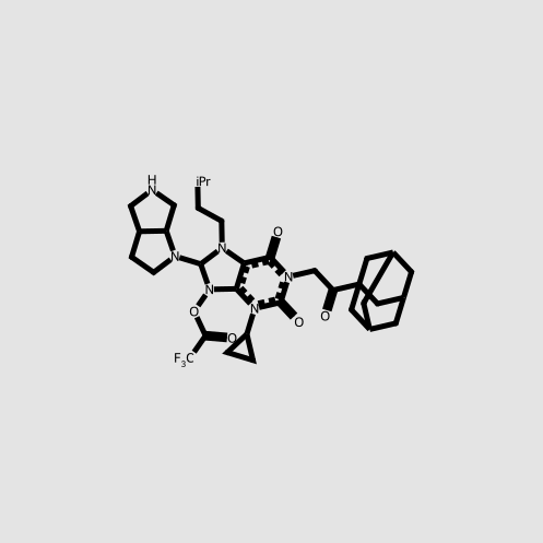 CC(C)CCN1c2c(n(C3CC3)c(=O)n(CC(=O)C34CC5CC(CC(C5)C3)C4)c2=O)N(OC(=O)C(F)(F)F)C1N1CCC2CNCC21